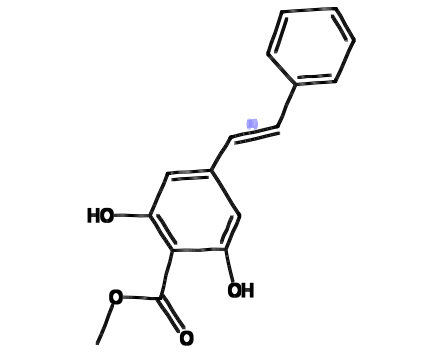 COC(=O)c1c(O)cc(/C=C/c2ccccc2)cc1O